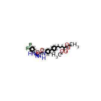 CCOC(=O)C(CCCc1ccc(-c2ccc(NC(=O)c3nnc(Nc4ccc(F)c(F)c4)o3)cc2)cc1)C1OC(C)O1